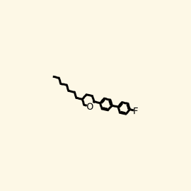 CCCCCCCC1CCC(c2ccc(-c3ccc(F)cc3)cc2)OC1